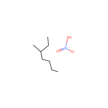 CCCCC(C)CC.O=[N+]([O-])O